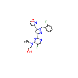 CCCN(CCO)c1nc(-c2cc(-c3ccon3)n(Cc3ccccc3F)n2)ncc1F